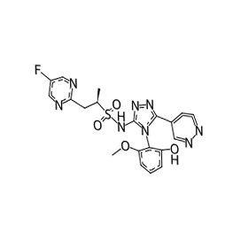 COc1cccc(O)c1-n1c(NS(=O)(=O)[C@H](C)Cc2ncc(F)cn2)nnc1C1=C=C=NN=C1